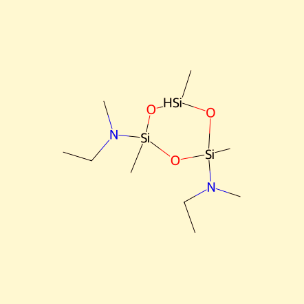 CCN(C)[Si]1(C)O[SiH](C)O[Si](C)(N(C)CC)O1